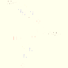 COc1cc(OCc2nc(N3CCOCC3)sc2CO)c2cc(-c3cn4nc(OC)sc4n3)oc2c1